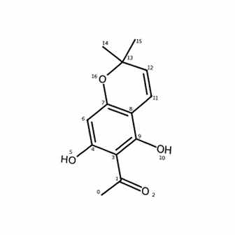 CC(=O)c1c(O)cc2c(c1O)C=CC(C)(C)O2